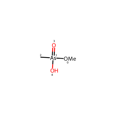 CO[As](C)(=O)O